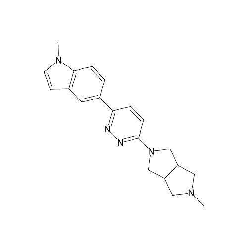 CN1CC2CN(c3ccc(-c4ccc5c(ccn5C)c4)nn3)CC2C1